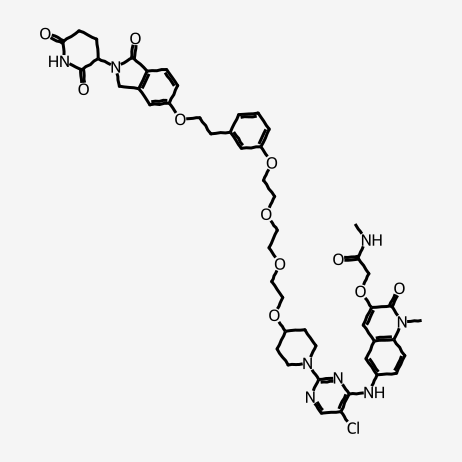 CNC(=O)COc1cc2cc(Nc3nc(N4CCC(OCCOCCOCCOc5cccc(CCOc6ccc7c(c6)CN(C6CCC(=O)NC6=O)C7=O)c5)CC4)ncc3Cl)ccc2n(C)c1=O